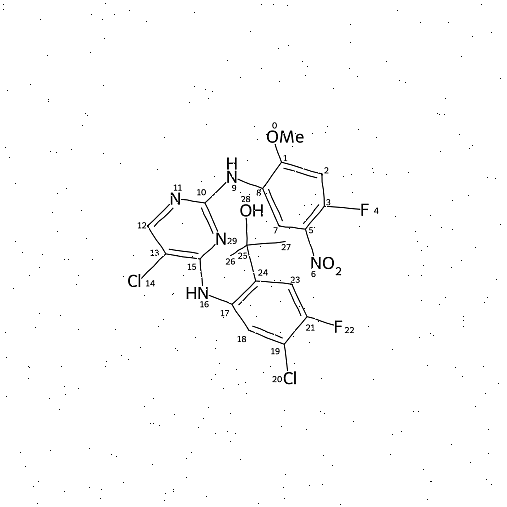 COc1cc(F)c([N+](=O)[O-])cc1Nc1ncc(Cl)c(Nc2cc(Cl)c(F)cc2C(C)(C)O)n1